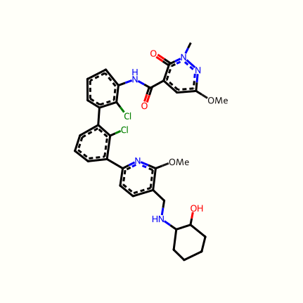 COc1cc(C(=O)Nc2cccc(-c3cccc(-c4ccc(CNC5CCCCC5O)c(OC)n4)c3Cl)c2Cl)c(=O)n(C)n1